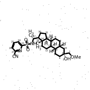 COC[C@@]1(O)CC[C@H]2[C@H](CC[C@@H]3[C@@H]2CC[C@]2(C)C([C@@H](C)NS(=O)(=O)c4cccc(C#N)n4)CC[C@@H]32)C1